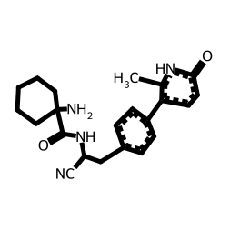 Cc1[nH]c(=O)ccc1-c1ccc(CC(C#N)NC(=O)C2(N)CCCCC2)cc1